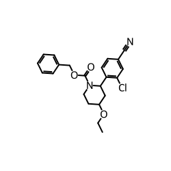 CCOC1CCN(C(=O)OCc2ccccc2)C(c2ccc(C#N)cc2Cl)C1